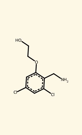 NCc1c(Cl)cc(Cl)cc1OCCO